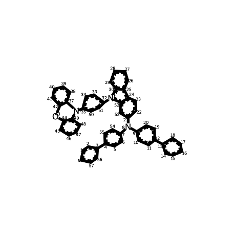 c1ccc(-c2ccc(N(c3ccc(-c4ccccc4)cc3)c3ccc4c5ccccc5n(-c5ccc(N6c7ccccc7Oc7ccccc76)cc5)c4c3)cc2)cc1